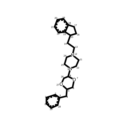 c1ccc(CC2COC(N3CCN(CCC4CCc5ccccc54)CC3)CO2)cc1